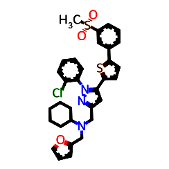 CS(=O)(=O)c1cccc(-c2ccc(-c3cc(CN(Cc4ccco4)C4CCCCC4)nn3-c3ccccc3Cl)s2)c1